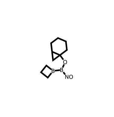 O=NB(OC12CCCCC1C2)B1CCC1